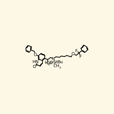 CC(C)(C)[Si](C)(C)N(CCCCCCOCC(F)(F)c1ccccc1)CC(O)c1ccc(OCc2ccccc2)c2[nH]c(=O)ccc12